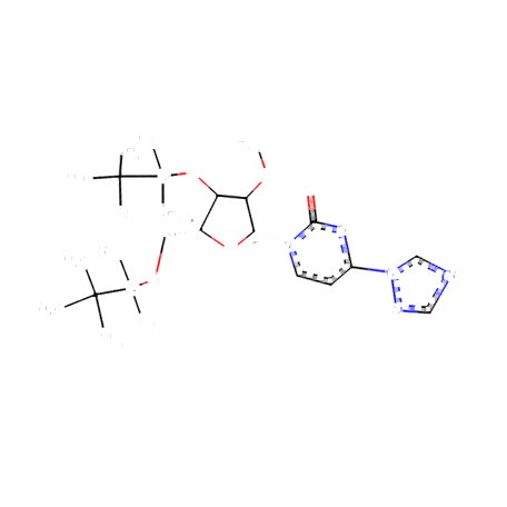 COC1C(O[Si](C)(C)C(C)(C)C)[C@@H](CO[Si](C)(C)C(C)(C)C)O[C@H]1n1ccc(-n2cncn2)nc1=O